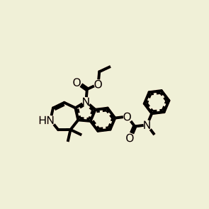 CCOC(=O)n1c2c(c3ccc(OC(=O)N(C)c4ccccc4)cc31)C(C)(C)CNC=C2